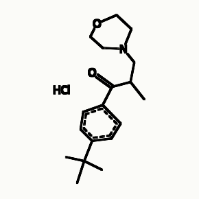 CC(CN1CCOCC1)C(=O)c1ccc(C(C)(C)C)cc1.Cl